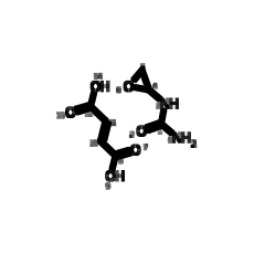 NC(=O)NC1CO1.O=C(O)/C=C/C(=O)O